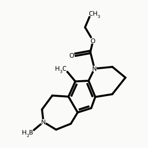 BN1CCc2cc3c(c(C)c2CC1)N(C(=O)OCC)CCC3